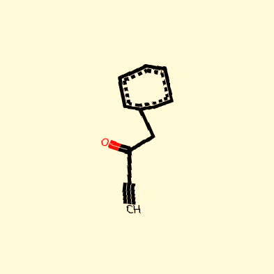 C#CC(=O)Cc1ccccc1